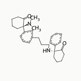 CN(C)[C@@]1(c2cccc(CCCN[C@@]3(c4ccccc4)CCCCC3=O)c2)CCCCC1=O